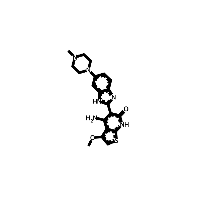 COc1csc2[nH]c(=O)c(-c3nc4ccc(N5CCN(C)CC5)cc4[nH]3)c(N)c12